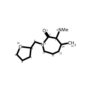 CNC1C(=O)N(CC2CCCO2)CCCC1C